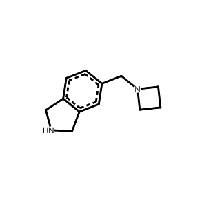 c1cc2c(cc1CN1CCC1)CNC2